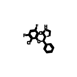 Fc1cc(F)c(Cl)c(O[C@@H](c2ccccc2)[C@H]2CCNC2)c1Cl